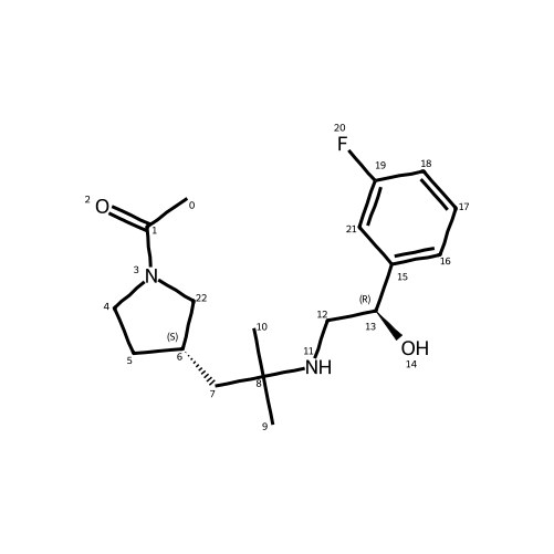 CC(=O)N1CC[C@@H](CC(C)(C)NC[C@H](O)c2cccc(F)c2)C1